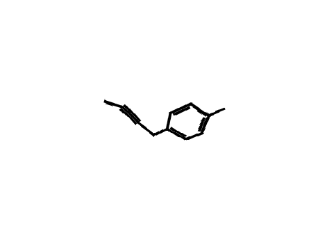 CC#C[CH]c1ccc(C)cc1